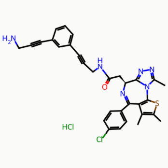 Cc1sc2c(c1C)C(c1ccc(Cl)cc1)=N[C@@H](CC(=O)NCC#Cc1cccc(C#CCN)c1)c1nnc(C)n1-2.Cl